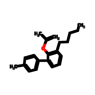 C=C(C)Oc1c(CCCCC)cccc1-c1ccc(C)cc1